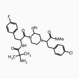 CCCC1CN(C(Cc2ccc(Cl)cc2)C(=O)NC)CCN1C(=O)C(Cc1ccc(F)cc1)NC(=O)C(C)(C)N